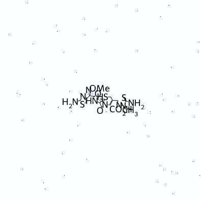 CO/N=C(\C(=O)NC1C(=O)N2C(C(=O)O)=C(C=NN(C)C(N)=S)CS[C@@H]12)c1csc(N)n1